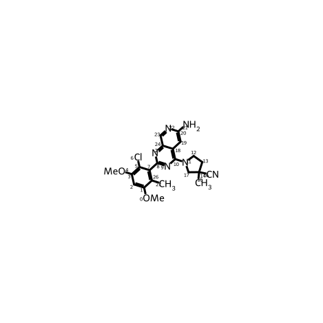 COc1cc(OC)c(Cl)c(-c2nc(N3CCC(C)(C#N)C3)c3cc(N)ncc3n2)c1C